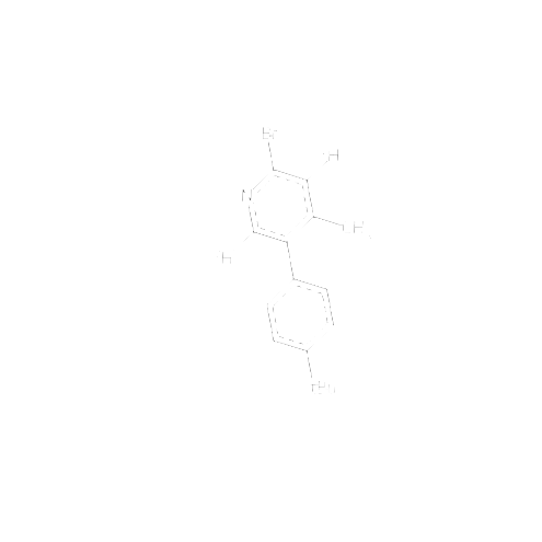 [2H]c1nc(Br)c([2H])c(C)c1-c1ccc(C(C)(C)C)cc1